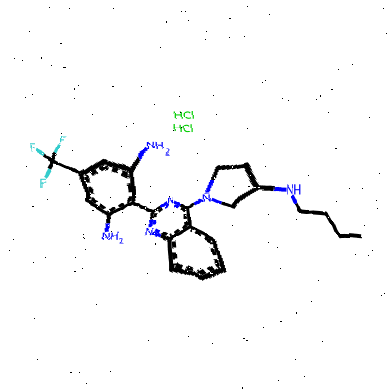 CCCCNC1CCN(c2nc(-c3c(N)cc(C(F)(F)F)cc3N)nc3ccccc23)C1.Cl.Cl